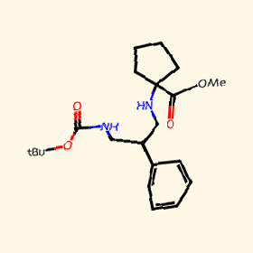 COC(=O)C1(NCC(CNC(=O)OC(C)(C)C)c2ccccc2)CCCC1